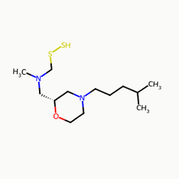 CC(C)CCCN1CCO[C@H](CN(C)CSS)C1